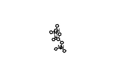 c1ccc(-c2cc(-c3ccccc3)nc(-c3cccc(-c4cc(-c5cccc(-c6nc(-c7ccccc7)cc(-c7ccccc7)n6)c5)c5[nH]c6ccccc6c5c4)c3)n2)cc1